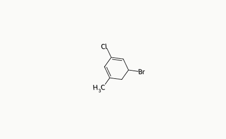 CC1=CC(Cl)=CC(Br)C1